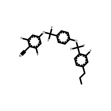 CCCc1ccc(C(F)(F)Oc2ccc(C(F)(F)Oc3cc(F)c(C#N)c(F)c3)cc2)c(F)c1